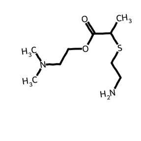 CC(SCCN)C(=O)OCCN(C)C